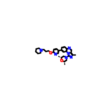 Cc1nc(N2C[C@@H](C)O[C@@H](C)C2)n2c1cnc1ccc(-c3ccc(OCCCN4CCCCC4)nc3)cc12